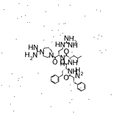 CC(C)C[C@@H](NC(=O)[C@@H](CCc1ccccc1)NC(=O)[C@H](N)Cc1ccccc1)C(=O)N[C@H](CCNC(=N)N)C(=O)N1CCCN(C(=N)N)CC1